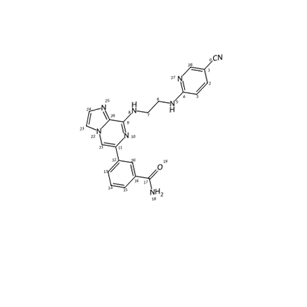 N#Cc1ccc(NCCNc2nc(-c3cccc(C(N)=O)c3)cn3ccnc23)nc1